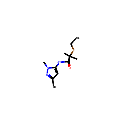 Cn1nc(C(C)(C)C)cc1NC(=O)C(C)(C)SCC(C)(C)C